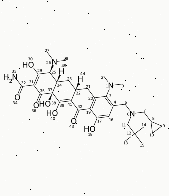 CN(C)c1c(CN(CC2CC2)CC(C)(C)C)cc(O)c2c1C[C@H]1C[C@H]3[C@H](N(C)C)C(O)=C(C(N)=O)C(=O)[C@@]3(O)C(O)=C1C2=O